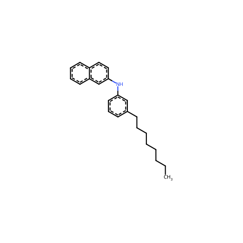 CCCCCCCCc1cccc(Nc2ccc3ccccc3c2)c1